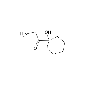 NCC(=O)C1(O)CCCCC1